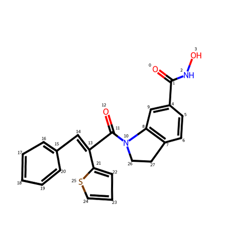 O=C(NO)c1ccc2c(c1)N(C(=O)/C(=C/c1ccccc1)c1cccs1)CC2